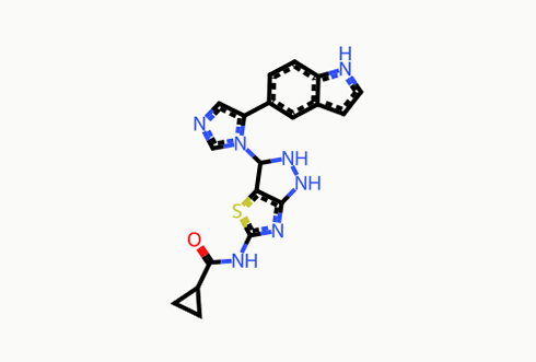 O=C(Nc1nc2c(s1)C(n1cncc1-c1ccc3[nH]ccc3c1)NN2)C1CC1